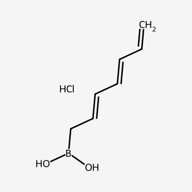 C=CC=CC=CCB(O)O.Cl